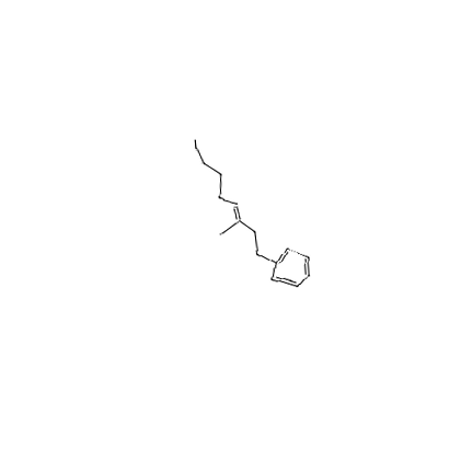 C/C(=C\CCCI)CCc1ccccc1